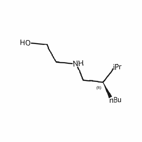 CCCC[C@@H](CNCCO)C(C)C